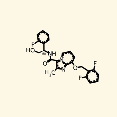 Cc1nc2c(OCc3c(F)cccc3F)cccn2c1C(=O)N[C@@H](CO)c1ccccc1F